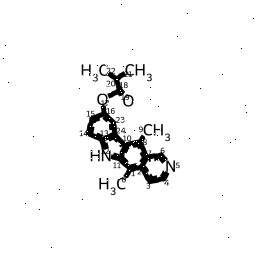 Cc1c2ccncc2c(C)c2c1[nH]c1ccc(OC(=O)C(C)C)cc12